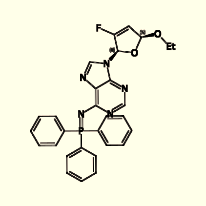 CCO[C@@H]1C=C(F)[C@H](n2cnc3c(N=P(c4ccccc4)(c4ccccc4)c4ccccc4)ncnc32)O1